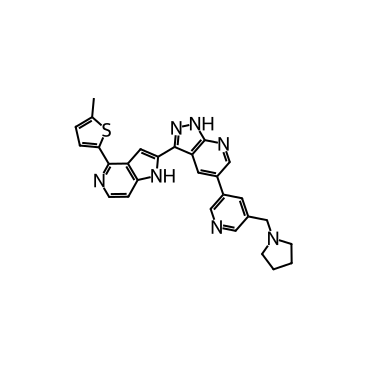 Cc1ccc(-c2nccc3[nH]c(-c4n[nH]c5ncc(-c6cncc(CN7CCCC7)c6)cc45)cc23)s1